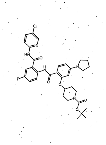 CC(C)(C)OC(=O)N1CCC(Oc2cc(N3CCCC3)ccc2C(=O)Nc2ccc(F)cc2C(=O)Nc2ccc(Cl)cn2)CC1